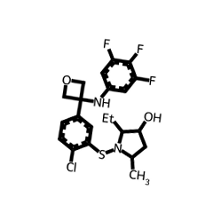 CCC1C(O)CC(C)N1Sc1cc(C2(Nc3cc(F)c(F)c(F)c3)COC2)ccc1Cl